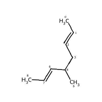 CC=CCC(C)C=CC